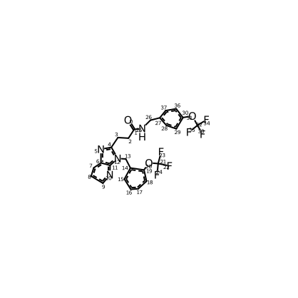 O=C(CCc1nc2cccnc2n1Cc1ccccc1OC(F)(F)F)NCc1ccc(OC(F)(F)F)cc1